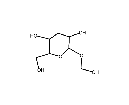 OCOC1OC(CO)C(O)CC1O